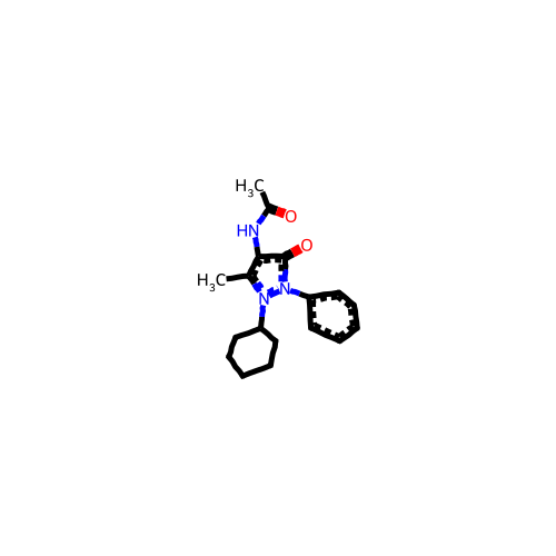 CC(=O)Nc1c(C)n(C2CCCCC2)n(-c2ccccc2)c1=O